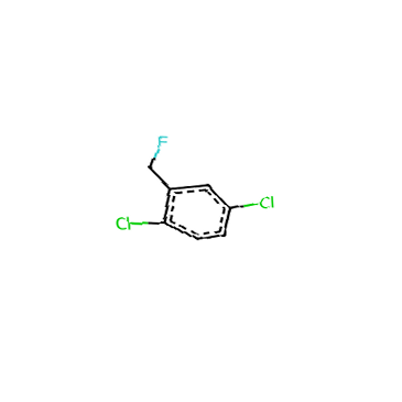 FCc1cc(Cl)ccc1Cl